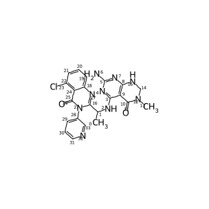 CC(Nc1nc(N)nc2c1C(=O)N(C)CN2)c1nc2cccc(Cl)c2c(=O)n1-c1cccnc1